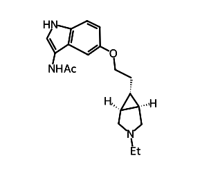 CCN1C[C@@H]2[C@@H](CCOc3ccc4[nH]cc(NC(C)=O)c4c3)[C@@H]2C1